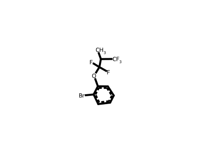 CC(C(F)(F)F)C(F)(F)Oc1ccccc1Br